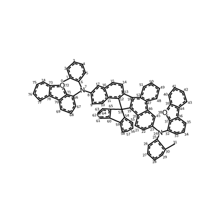 Cc1ccccc1N(c1ccc2c3c(ccc2c1)-c1c(c2ccc(N(c4ccccc4C)c4cccc5c4oc4ccccc45)cc2c2ccccc12)C31c2ccccc2-c2ccccc21)c1cccc2c1oc1ccccc12